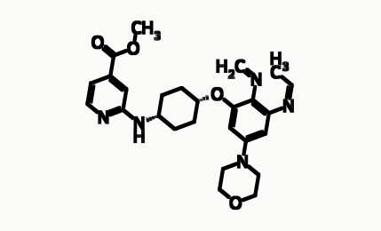 C=Nc1c(/N=C\C)cc(N2CCOCC2)cc1O[C@H]1CC[C@@H](Nc2cc(C(=O)OC)ccn2)CC1